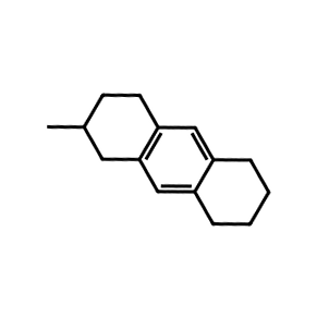 CC1CCc2cc3c(cc2C1)CCCC3